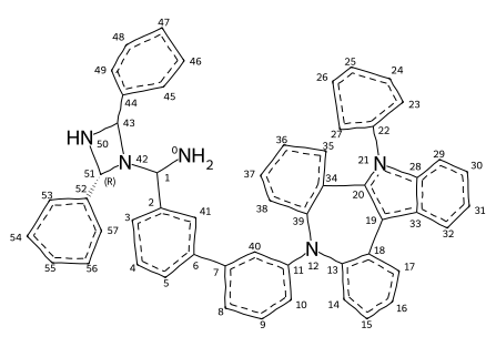 NC(c1cccc(-c2cccc(N3c4ccccc4-c4c(n(-c5ccccc5)c5ccccc45)-c4ccccc43)c2)c1)N1C(c2ccccc2)N[C@H]1c1ccccc1